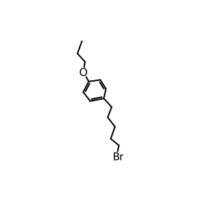 CCCOc1ccc(CCCCCBr)cc1